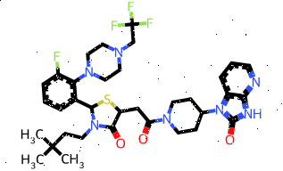 CC(C)(C)CCN1C(=O)C(CC(=O)N2CCC(n3c(=O)[nH]c4ncccc43)CC2)SC1c1cccc(F)c1N1CCN(CC(F)(F)F)CC1